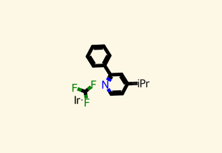 CC(C)c1ccnc(-c2ccccc2)c1.FC(F)F.[Ir]